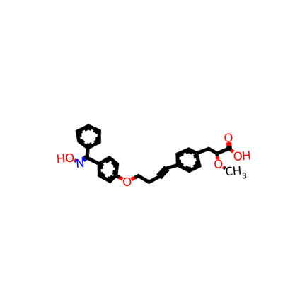 COC(Cc1ccc(C#CCCOc2ccc(C(=NO)c3ccccc3)cc2)cc1)C(=O)O